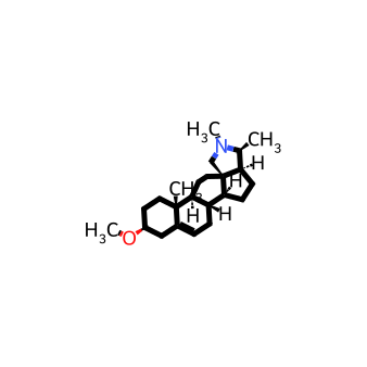 CO[C@H]1CC[C@@]2(C)C(=CC[C@H]3[C@@H]4CC[C@@H]5[C@H](C)N(C)C[C@@]54CC[C@@H]32)C1